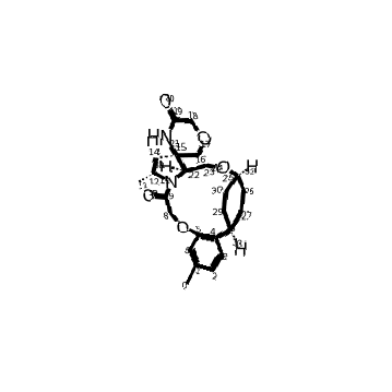 Cc1ccc2c(c1)OCC(=O)N1[C@H](C)C[C@]3(COCC(=O)N3)[C@H]1CO[C@H]1CC[C@@H]2CC1